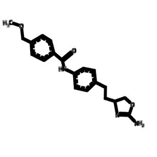 COCc1ccc(C(=O)Nc2ccc(CCC3COC(N)=N3)cc2)cc1